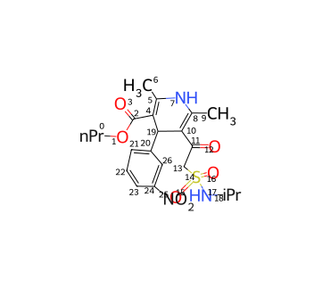 CCCOC(=O)C1=C(C)NC(C)=C(C(=O)CS(=O)(=O)NC(C)C)C1c1cccc([N+](=O)[O-])c1